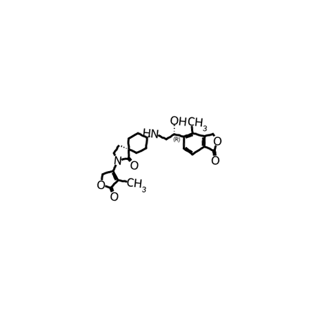 CC1=C(N2CC[C@]3(CC[C@@H](NC[C@H](O)c4ccc5c(c4C)COC5=O)CC3)C2=O)COC1=O